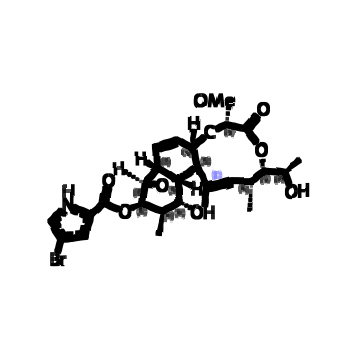 CO[C@H]1C[C@H]2C=C[C@H]3[C@H]4O[C@]2(/C(C)=C/[C@@H](C)[C@@H]([C@@H](C)O)OC1=O)[C@@H]3[C@H](O)[C@@H](C)[C@H]4OC(=O)c1cc(Br)c[nH]1